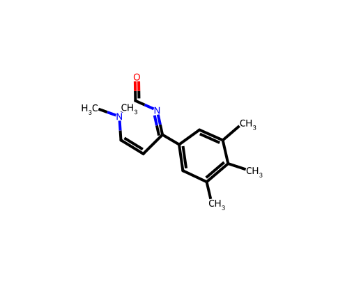 Cc1cc(C(/C=C\N(C)C)=N/C=O)cc(C)c1C